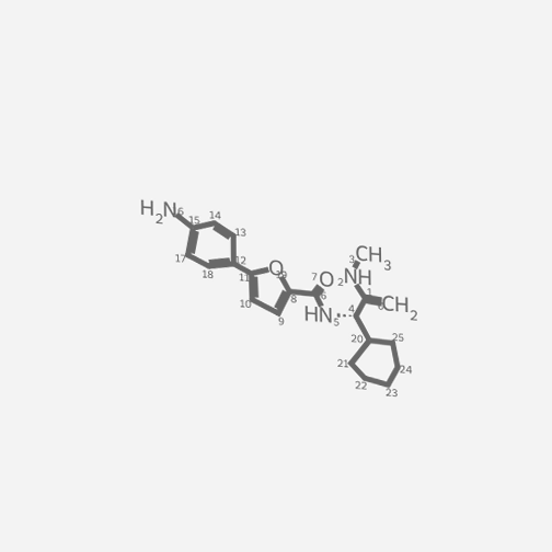 C=C(NC)[C@@H](NC(=O)c1ccc(-c2ccc(N)cc2)o1)C1CCCCC1